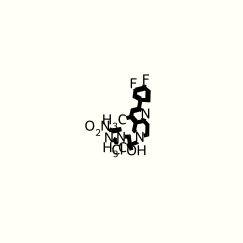 Cc1cc(-c2ccc(F)c(F)c2)nc2c1CN(CC(C)(O)Cn1cc([N+](=O)[O-])nc1Cl)CC2